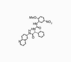 COc1ccc([N+](=O)[O-])cc1NC(=O)NC(C(=O)Nc1ccc2ncccc2c1)c1ccccc1